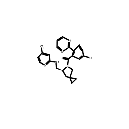 O=C(c1cc(Cl)ccc1-c1ncccn1)N1CC2(CC2)C[C@H]1CNc1cc(C(F)(F)F)ccn1